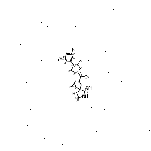 C[C@H]1CN(C(=O)CCC2(C3CC3)NC(=O)NC2O)CCN1c1cc(F)cc(F)c1